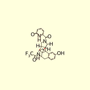 O=C(c1cccc(=O)[nH]1)N1C[C@H]2C[C@@]34CC[C@@H]1[C@@H]2[C@@]31CCN(C(=O)C(F)(F)F)[C@@H]4Cc2ccc(O)cc21